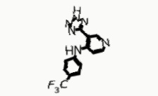 FC(F)(F)c1ccc(Nc2ccncc2-c2nn[nH]n2)cc1